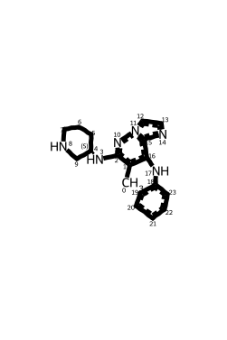 Cc1c(N[C@H]2CCCNC2)nn2ccnc2c1Nc1ccccc1